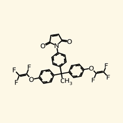 CC(c1ccc(OC(F)=C(F)F)cc1)(c1ccc(OC(F)=C(F)F)cc1)c1ccc(N2C(=O)C=CC2=O)cc1